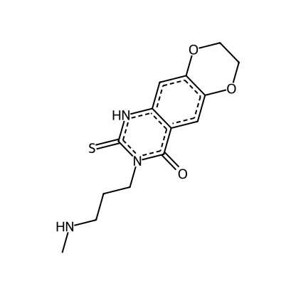 CNCCCn1c(=S)[nH]c2cc3c(cc2c1=O)OCCO3